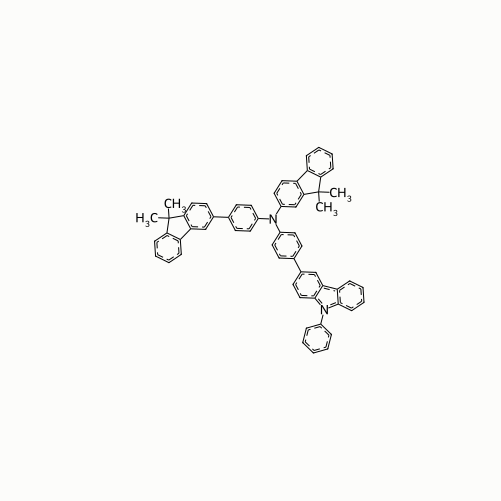 CC1(C)c2ccccc2-c2cc(-c3ccc(N(c4ccc(-c5ccc6c(c5)c5ccccc5n6-c5ccccc5)cc4)c4ccc5c(c4)C(C)(C)c4ccccc4-5)cc3)ccc21